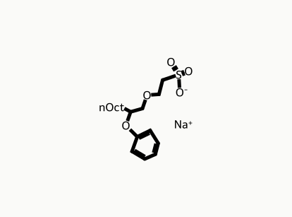 CCCCCCCCC(COCCS(=O)(=O)[O-])Oc1ccccc1.[Na+]